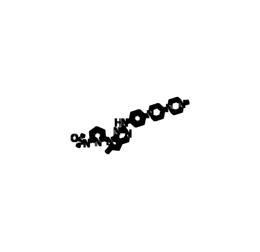 Cc1cc2cnc(Nc3ccc(N4CCC(N5CCN(C)CC5)CC4)cc3)nc2n1-c1cccc(N=S(C)(C)=O)n1